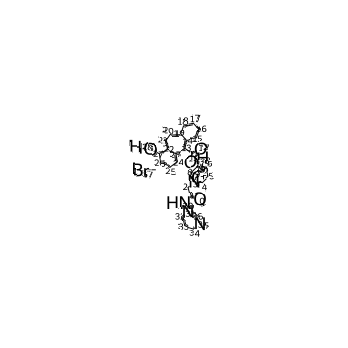 O=C(C[N+]12CCC(CC1)[C@@H](OC(=O)C1=c3ccccc3=CC=C3C1=CC=CC3O)C2)NN1C=CC=NC1.[Br-]